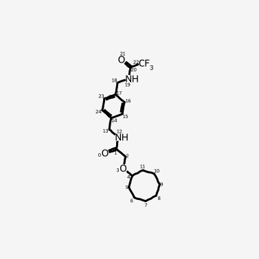 O=C(COC1CCCCCCC1)NCc1ccc(CNC(=O)C(F)(F)F)cc1